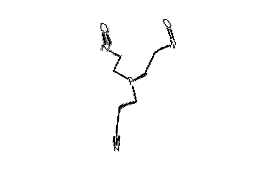 N#CCCP(CCN=O)CCN=O